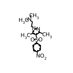 Cc1nn(CCN(C)C)c(C)c1S(=O)(=O)c1ccc([N+](=O)[O-])cc1